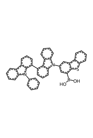 OB(O)c1cc(-n2c3ccccc3c3c(-c4cccc5c6ccccc6n(-c6ccccc6)c45)cccc32)cc2c1sc1ccccc12